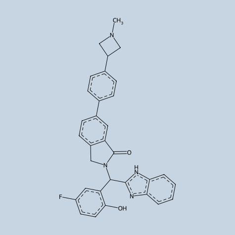 CN1CC(c2ccc(-c3ccc4c(c3)C(=O)N(C(c3nc5ccccc5[nH]3)c3cc(F)ccc3O)C4)cc2)C1